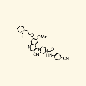 COc1cc2c(N3CCN(C(=O)Nc4ccc(C#N)cc4)CC3)c(C#N)cnc2cc1OCCC1CCCCN1